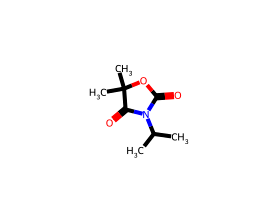 CC(C)N1C(=O)OC(C)(C)C1=O